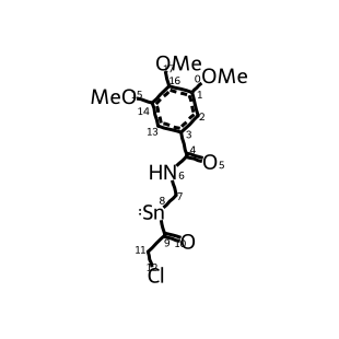 COc1cc(C(=O)N[CH2][Sn][C](=O)CCl)cc(OC)c1OC